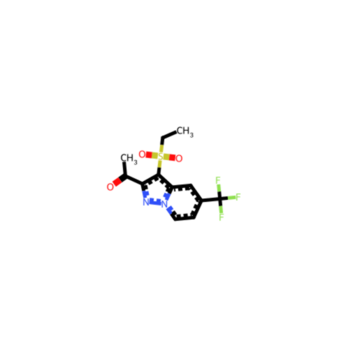 CCS(=O)(=O)c1c(C(C)=O)nn2ccc(C(F)(F)F)cc12